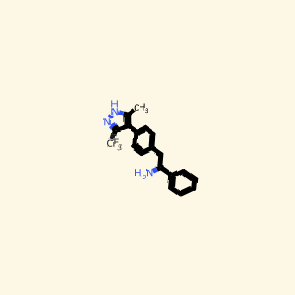 Cc1[nH]nc(C(F)(F)F)c1-c1ccc(CC(N)c2ccccc2)cc1